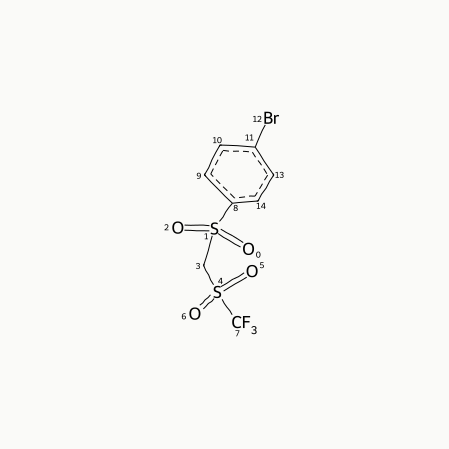 O=S(=O)(CS(=O)(=O)C(F)(F)F)c1ccc(Br)cc1